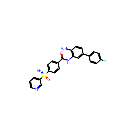 N=S(=O)(c1ccc(C(=O)Nc2cc(-c3ccc(F)cc3)ccc2N)cc1)c1cccnc1